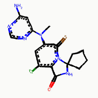 CN(c1cc(N)ncn1)c1cc(Cl)c2n(c1=S)C1(CCCC1)NC2=O